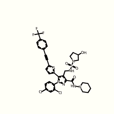 O=C(NN1CCCCC1)c1nn(-c2ccc(Cl)cc2Cl)c(-c2ccc(C#Cc3ccc(C(F)(F)F)cc3)s2)c1CNS(=O)(=O)N1CCC(O)C1